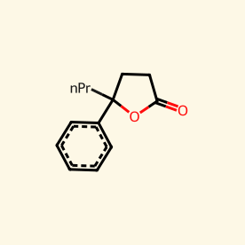 CCCC1(c2ccccc2)CCC(=O)O1